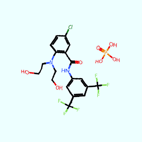 O=C(Nc1cc(C(F)(F)F)cc(C(F)(F)F)c1)c1cc(Cl)ccc1N(CCO)CCO.O=P(O)(O)O